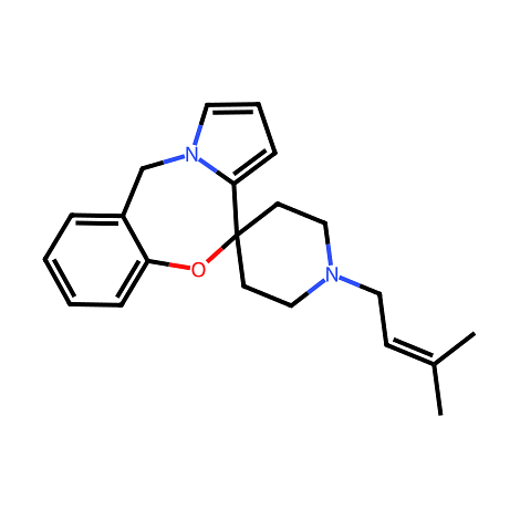 CC(C)=CCN1CCC2(CC1)Oc1ccccc1Cn1cccc12